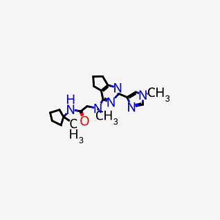 CN(CC(=O)NC1(C)CCCC1)c1nc(-c2cn(C)cn2)nc2c1CCC2